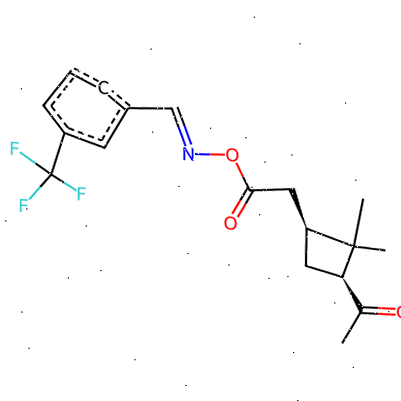 CC(=O)[C@H]1C[C@@H](CC(=O)ON=Cc2cccc(C(F)(F)F)c2)C1(C)C